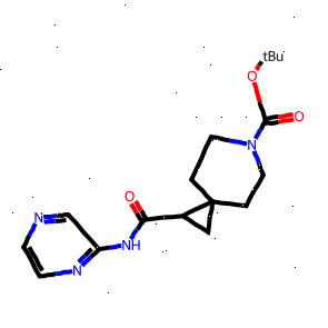 CC(C)(C)OC(=O)N1CCC2(CC1)CC2C(=O)Nc1cnccn1